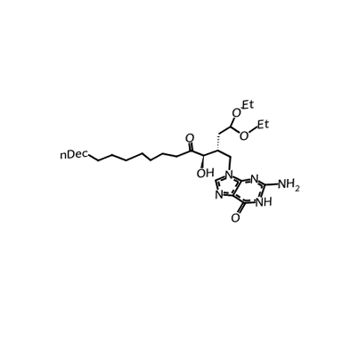 CCCCCCCCCCCCCCCCCC(=O)[C@H](O)[C@H](CC(OCC)OCC)Cn1cnc2c(=O)[nH]c(N)nc21